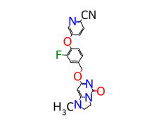 CN1CCn2c1cc(OCc1ccc(Oc3ccc(C#N)nc3)c(F)c1)nc2=O